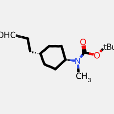 CN(C(=O)OC(C)(C)C)[C@H]1CC[C@H](CCC=O)CC1